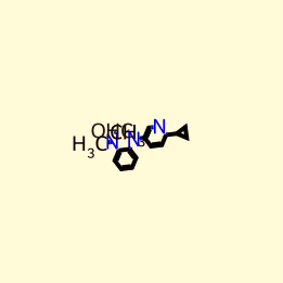 CN(C)c1ccccc1N(C=O)c1ccc(C2CC2)nc1